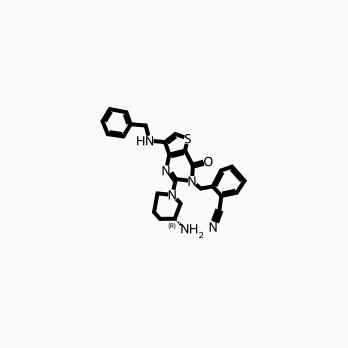 N#Cc1ccccc1Cn1c(N2CCC[C@@H](N)C2)nc2c(NCc3ccccc3)csc2c1=O